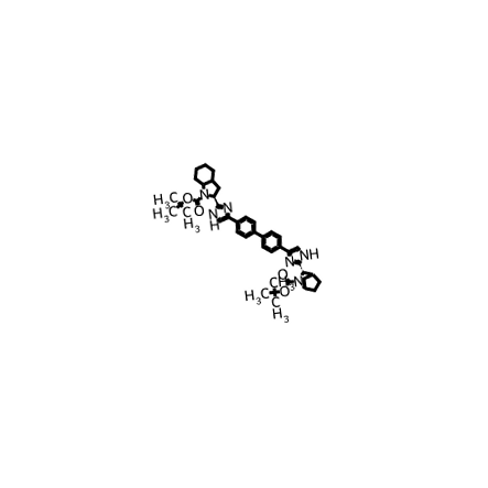 CC(C)(C)OC(=O)N1C2CCC(C2)[C@H]1c1nc(-c2ccc(-c3ccc(-c4c[nH]c([C@@H]5CC6CCCCC6N5C(=O)OC(C)(C)C)n4)cc3)cc2)c[nH]1